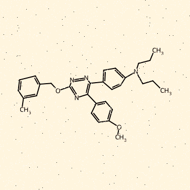 CCCN(CCC)c1ccc(-c2nnc(OCc3cccc(C)c3)nc2-c2ccc(OC)cc2)cc1